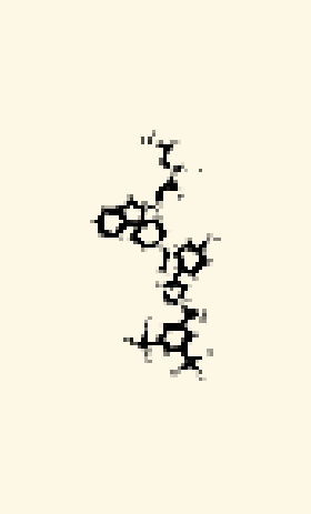 CN(CC(=O)O)C(=O)CO[C@H]1Cc2ccccc2C12CCN(CC[C@]1(c3ccc(F)cc3)CN(C(=O)c3cc(C(F)(F)F)cc(C(F)(F)F)c3)CO1)CC2